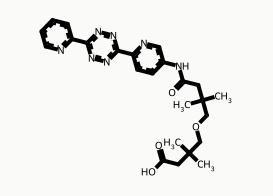 CC(C)(COCC(C)(C)CC(=O)Nc1ccc(-c2nnc(-c3ccccn3)nn2)nc1)CC(=O)O